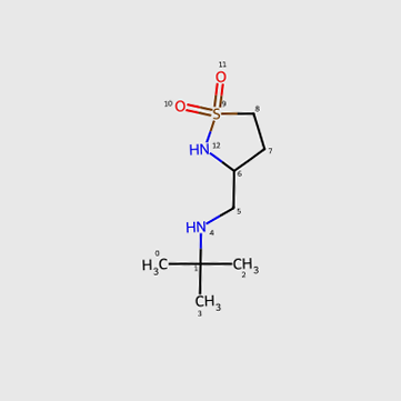 CC(C)(C)NCC1CCS(=O)(=O)N1